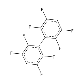 Fc1cc(F)c(F)c(-c2c(F)c(F)cc(F)c2F)c1F